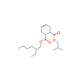 CCCCC(CC)COC(=O)C1CC=CCC1C(=O)OCC(C)C